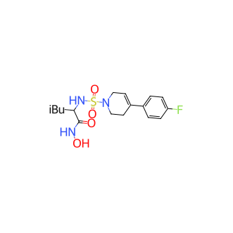 CCC(C)C(NS(=O)(=O)N1CC=C(c2ccc(F)cc2)CC1)C(=O)NO